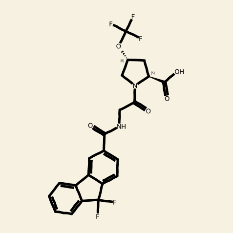 O=C(NCC(=O)N1C[C@H](OC(F)(F)F)C[C@H]1C(=O)O)c1ccc2c(c1)-c1ccccc1C2(F)F